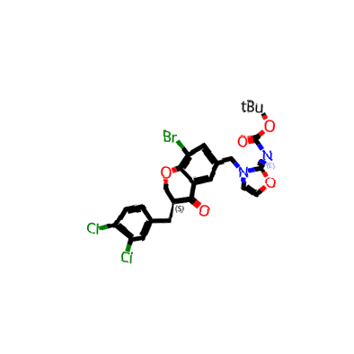 CC(C)(C)OC(=O)/N=c1/occn1Cc1cc(Br)c2c(c1)C(=O)[C@@H](Cc1ccc(Cl)c(Cl)c1)CO2